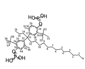 CCCCCCCCCCCCCC(CCC)(c1cc(C(C)(C)C)c(OP(O)O)cc1C)c1cc(C(C)(C)C)c(OP(O)O)cc1C